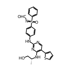 C[C@H](CO)Nc1nc(Nc2ccc(S(=O)(=NC=O)c3ccccc3)cc2)ncc1-c1cccs1